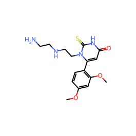 COc1ccc(-c2cc(=O)[nH]c(=S)n2CCNCCN)c(OC)c1